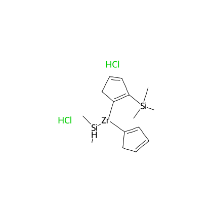 C[SiH](C)[Zr]([C]1=CC=CC1)[C]1=C([Si](C)(C)C)C=CC1.Cl.Cl